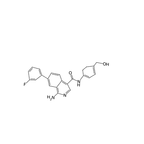 Nc1ncc(C(=O)NC2=CC=C(CO)CC2)c2ccc(-c3cccc(F)c3)cc12